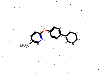 CCOC(=O)c1ccc(Oc2ccc(C3CCCCC3)cc2)nc1